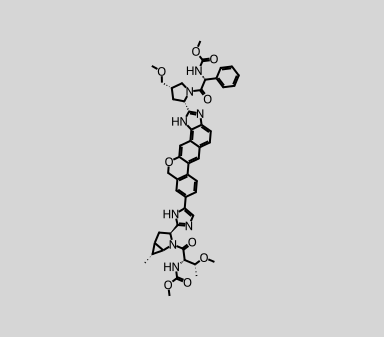 COC[C@H]1C[C@@H](c2nc3ccc4cc5c(cc4c3[nH]2)OCc2cc(-c3cnc([C@@H]4CC6C([C@@H]6C)N4C(=O)[C@@H](NC(=O)OC)[C@@H](C)OC)[nH]3)ccc2-5)N(C(=O)[C@H](NC(=O)OC)c2ccccc2)C1